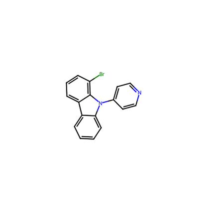 Brc1cccc2c3ccccc3n(-c3ccncc3)c12